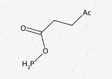 CC(=O)CCC(=O)OP